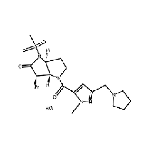 CC(C)[C@H]1C(=O)N(S(C)(=O)=O)[C@H]2CCN(C(=O)c3cc(CN4CCCC4)nn3C)[C@H]12.Cl